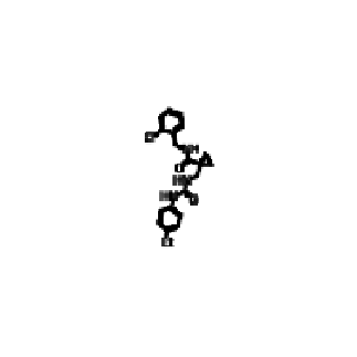 CCc1ccc(NC(=O)NCC2(C(=O)NCc3ccccc3Cl)CC2)cc1